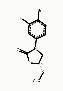 CC(=O)OC[C@H]1CN(c2ccc(Br)c(F)c2)C(=O)O1